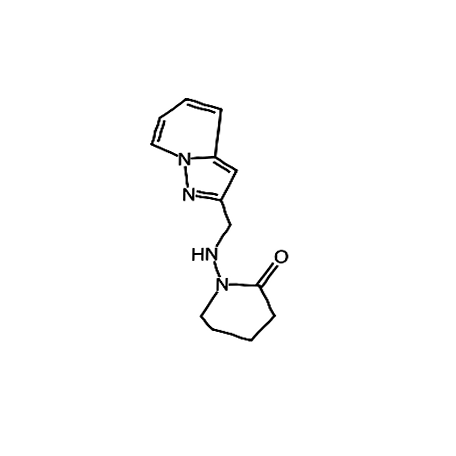 O=C1CCCCN1NCc1cc2ccccn2n1